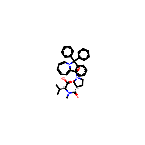 CC(C)[C@@H](C(=O)O)N(C)C(=O)[C@H]1CCN(C(=O)C2=CC=CC=CN2C(c2ccccc2)(c2ccccc2)c2ccccc2)C1